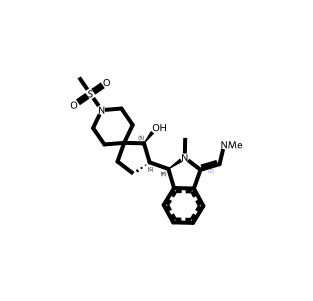 CN/C=C1/c2ccccc2[C@@H]([C@@H]2CCC3(CCN(S(C)(=O)=O)CC3)[C@H]2O)N1C